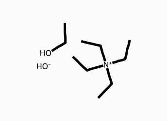 CCO.CC[N+](CC)(CC)CC.[OH-]